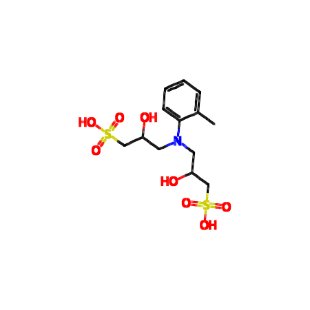 Cc1ccccc1N(CC(O)CS(=O)(=O)O)CC(O)CS(=O)(=O)O